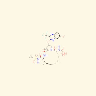 COC[C@@H]1C[C@H](C)CCC=C[C@@H]2C[C@@]2(C(=O)NS(=O)(=O)C2CC2)NC(=O)[C@@H]2C[C@@H](Oc3nc4cc(OC)ccc4nc3C(F)(F)F)CN2C(=O)[C@H]1NC(=O)O